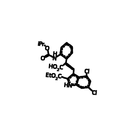 CCOC(=O)c1[nH]c2cc(Cl)cc(Cl)c2c1C=C(C(=O)O)c1ccccc1NC(=O)OC(C)C